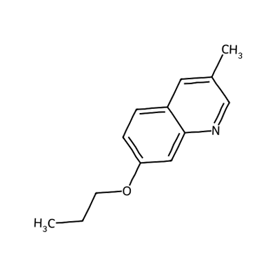 CCCOc1ccc2cc(C)cnc2c1